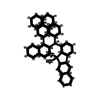 CC1(C)c2cc3ccccc3cc2-c2cccc(N(c3cccc(-c4ccccc4)c3)c3ccc4ccccc4c3-c3ccc4ccccc4c3)c21